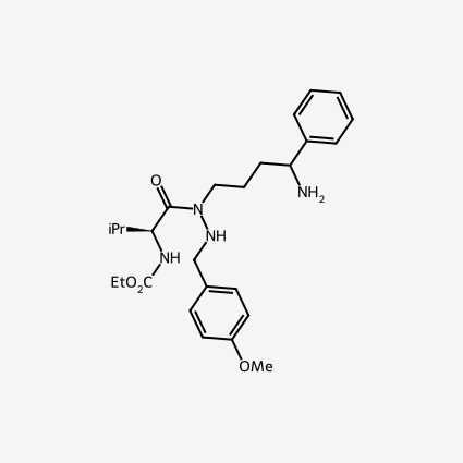 CCOC(=O)N[C@H](C(=O)N(CCCC(N)c1ccccc1)NCc1ccc(OC)cc1)C(C)C